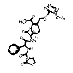 Cn1nnnc1SCC1=C(C(=O)O)N2C(=O)C(NC(=O)C(NC(=O)N3CCSC3=O)c3ccccc3)[C@@H]2SC1